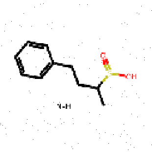 CC(CCc1ccccc1)S(=O)O.[NaH]